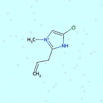 C=CCc1[nH]c(Cl)c[n+]1C